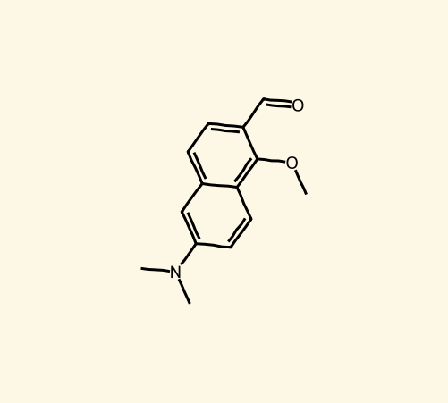 COc1c(C=O)ccc2cc(N(C)C)ccc12